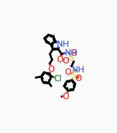 COc1ccc(S(=O)(=O)NCCS(=O)(=O)NC(=O)c2[nH]c3ccccc3c2CCCOc2cc(C)cc(C)c2Cl)cc1